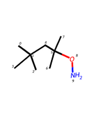 CC(C)(C)CC(C)(C)ON